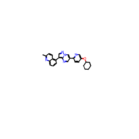 Cc1ccc2c(-c3cnn4cc(-c5ccc(OC6CCCCC6)cn5)cnc34)cccc2n1